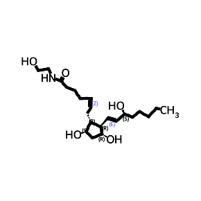 CCCCC[C@H](O)/C=C/[C@@H]1[C@@H](C/C=C\CCCC(=O)NCCO)[C@@H](O)C[C@H]1O